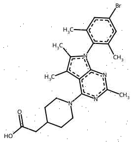 Cc1nc(N2CCC(CC(=O)O)CC2)c2c(C)c(C)n(-c3c(C)cc(Br)cc3C)c2n1